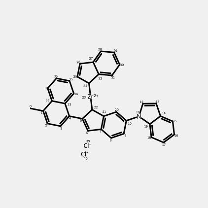 Cc1ccc(C2=Cc3ccc(-n4ccc5ccccc54)cc3[CH]2[Zr+2][CH]2C=Cc3ccccc32)c2ccccc12.[Cl-].[Cl-]